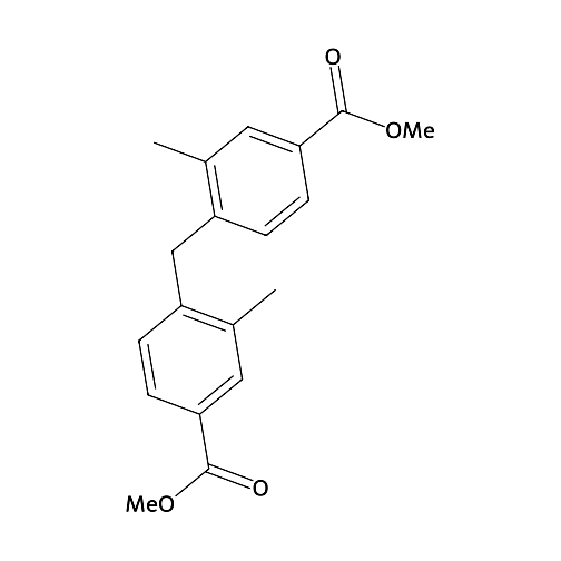 COC(=O)c1ccc(Cc2ccc(C(=O)OC)cc2C)c(C)c1